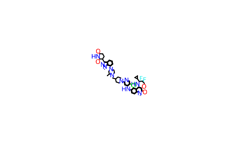 CC1CN(c2cccc3c(C4CCC(=O)NC4=O)nn(C)c23)CCN1CC1CCN(c2cc(Nc3ccc4c(c3)c3c(c(=O)n4C)OCC(F)(F)C(C4CC4)N3)c(Cl)cn2)CC1